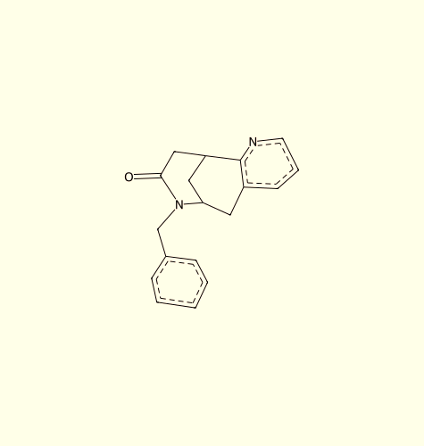 O=C1CC2CC(Cc3cccnc32)N1Cc1ccccc1